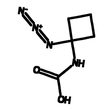 [N-]=[N+]=NC1(NC(=O)O)CCC1